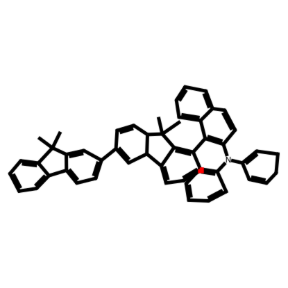 CC1(C)c2ccccc2-c2ccc(C3=CC4c5cccc(-c6c(N(C7=CCCC=C7)c7ccccc7)ccc7ccccc67)c5C(C)(C)C4C=C3)cc21